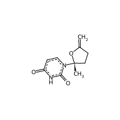 C=C1CC[C@](C)(n2ccc(=O)[nH]c2=O)O1